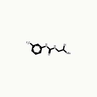 CCCCC(CC)CNC(=O)Nc1cccc(C(F)(F)F)c1